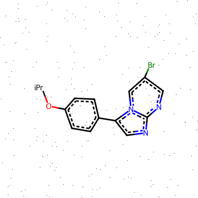 CC(C)Oc1ccc(-c2cnc3ncc(Br)cn23)cc1